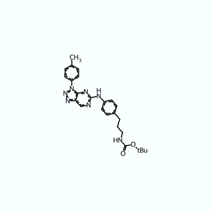 Cc1ccc(-n2nnc3cnc(Nc4ccc(CCCNC(=O)OC(C)(C)C)cc4)nc32)cc1